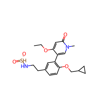 CCOc1cc(=O)n(C)cc1-c1cc(CCN[SH](=O)=O)ccc1OCC1CC1